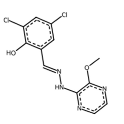 COc1nccnc1NN=Cc1cc(Cl)cc(Cl)c1O